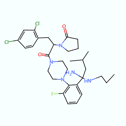 CCCNC(N)(CC(C)C)c1cccc(F)c1N1CCN(C(=O)C(Cc2ccc(Cl)cc2Cl)N2CCCC2=O)CC1